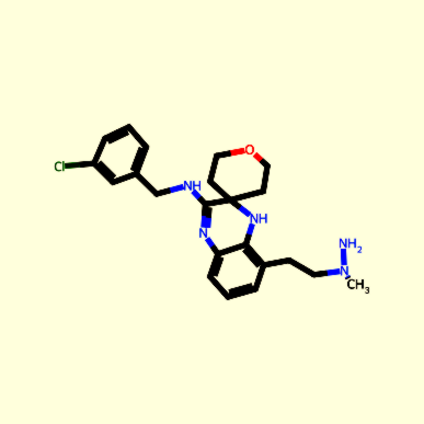 CN(N)CCc1cccc2c1NC1(CCOCC1)C(NCc1cccc(Cl)c1)=N2